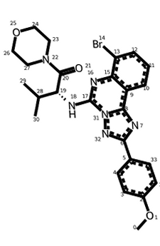 COc1ccc(-c2nc3c4cccc(Br)c4nc(N[C@@H](C(=O)N4CCOCC4)C(C)C)n3n2)cc1